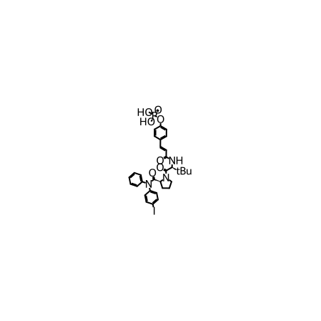 CC(C)(C)[C@H](NC(=O)/C=C/c1ccc(OP(=O)(O)O)cc1)C(=O)N1CCC[C@H]1C(=O)N(c1ccccc1)c1ccc(I)cc1